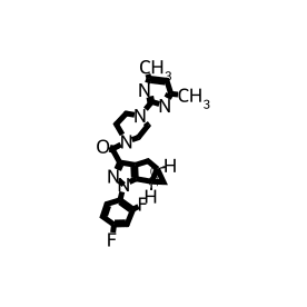 Cc1cc(C)nc(N2CCN(C(=O)c3nn(-c4ccc(F)cc4F)c4c3C[C@H]3C[C@@H]43)CC2)n1